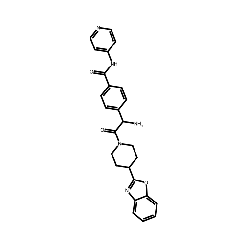 NC(C(=O)N1CCC(c2nc3ccccc3o2)CC1)c1ccc(C(=O)Nc2ccncc2)cc1